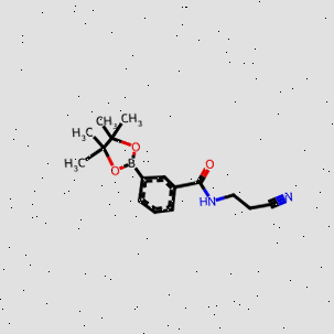 CC1(C)OB(c2cccc(C(=O)NCCC#N)c2)OC1(C)C